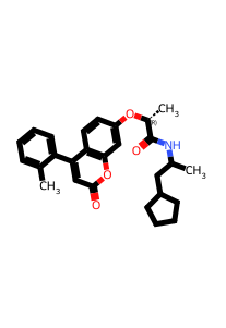 Cc1ccccc1-c1cc(=O)oc2cc(O[C@H](C)C(=O)NC(C)CC3CCCC3)ccc12